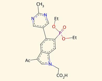 CCOP(=O)(OCC)c1cc2c(cc1-c1cnc(C)nc1)c(C(C)=O)cn2CC(=O)O